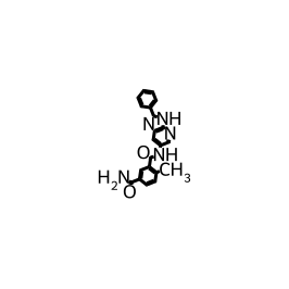 Cc1ccc(C(N)=O)cc1C(=O)Nc1cnc2[nH]c(-c3ccccc3)nc2c1